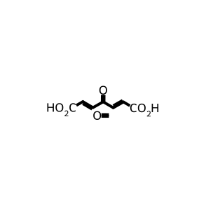 C=O.O=C(O)C=CC(=O)C=CC(=O)O